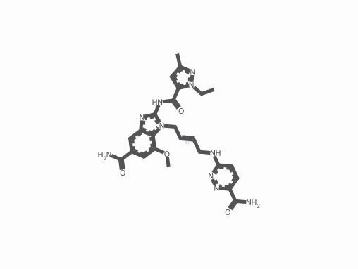 CCn1nc(C)cc1C(=O)Nc1nc2cc(C(N)=O)cc(OC)c2n1C/C=C/CNc1ccc(C(N)=O)nn1